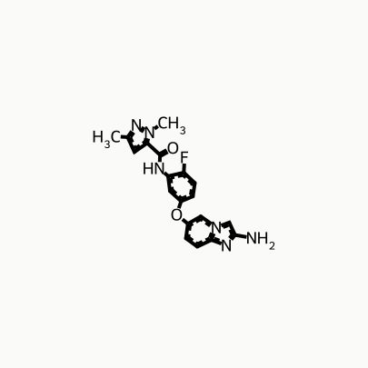 Cc1cc(C(=O)Nc2cc(Oc3ccc4nc(N)cn4c3)ccc2F)n(C)n1